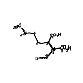 CCCCCN(C(=O)O)C(CCSCCC)C(=O)O